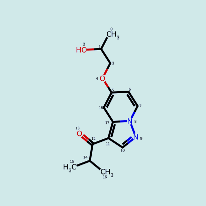 CC(O)COc1ccn2ncc(C(=O)C(C)C)c2c1